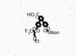 CCCCCCCCCC(=O)Oc1ccc(-c2ccc(C(=O)O)cc2-c2ccc(C(=O)O[C@H](CCCOCC)C(F)(F)F)cc2)cc1